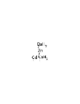 [BaH2].[CaH2].[Cd].[Zn]